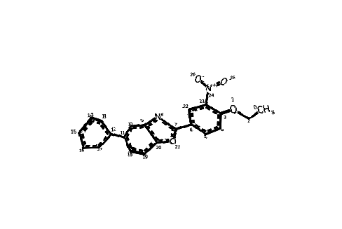 CCOc1ccc(-c2nc3cc(-c4ccccc4)ccc3o2)cc1[N+](=O)[O-]